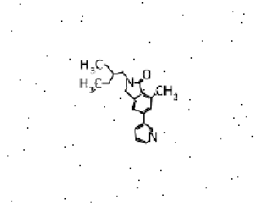 CCC(CC)CN1Cc2cc(-c3cccnc3)cc(C)c2C1=O